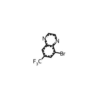 FC(F)(F)c1cc(Br)c2nccnc2c1